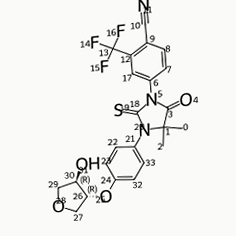 CC1(C)C(=O)N(c2ccc(C#N)c(C(F)(F)F)c2)C(=S)N1c1ccc(O[C@@H]2COC[C@H]2O)cc1